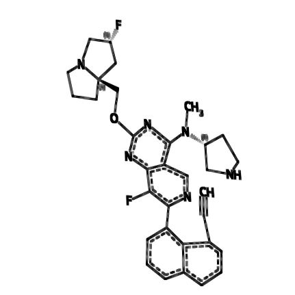 C#Cc1cccc2cccc(-c3ncc4c(N(C)[C@@H]5CCNC5)nc(OC[C@@]56CCCN5C[C@H](F)C6)nc4c3F)c12